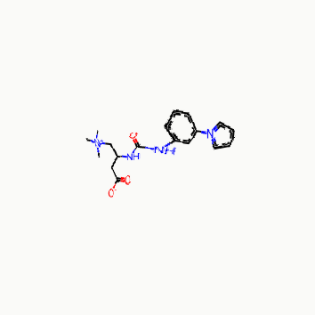 C[N+](C)(C)CC(CC(=O)[O-])NC(=O)Nc1cccc(-n2cccc2)c1